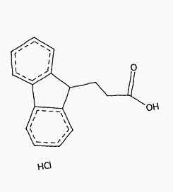 Cl.O=C(O)CCC1c2ccccc2-c2ccccc21